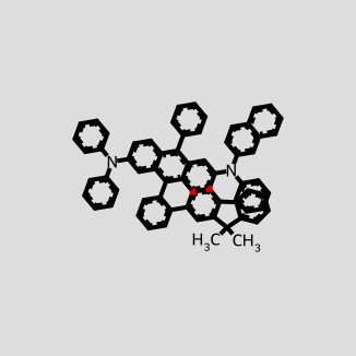 CC1(C)c2ccccc2-c2ccc(-c3ccccc3-c3c4ccc(N(c5ccccc5)c5ccc6ccccc6c5)cc4c(-c4ccccc4)c4ccc(N(c5ccccc5)c5ccccc5)cc34)cc21